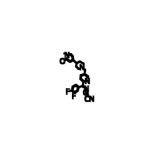 Cn1ccc(C2CCN(Cc3ccc(/C(=N/OCC#N)c4ccc(F)c(F)c4)nc3)CC2)cc1=O